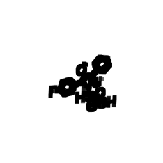 COc1c(-c2ccc(F)cc2)n(C)[n+](C)c1-c1ccccc1.O=S(=O)(O)O